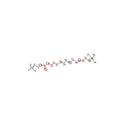 CC(C)(C)CCOC(=O)OCCCSCCOCCOCCSC(C)(C)C